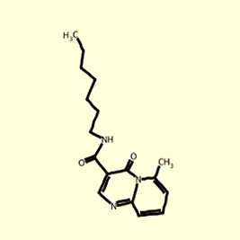 CCCCCCCNC(=O)c1cnc2cccc(C)n2c1=O